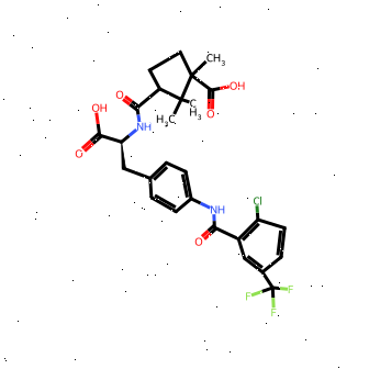 CC1(C(=O)O)CCC(C(=O)N[C@@H](Cc2ccc(NC(=O)c3cc(C(F)(F)F)ccc3Cl)cc2)C(=O)O)C1(C)C